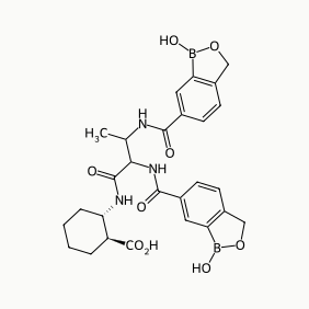 CC(NC(=O)c1ccc2c(c1)B(O)OC2)C(NC(=O)c1ccc2c(c1)B(O)OC2)C(=O)N[C@H]1CCCC[C@@H]1C(=O)O